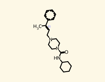 C/C(=C\CN1CCN(C(=O)NC2CCCCC2)CC1)c1ccccc1